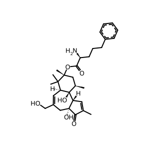 CC1=C[C@H]2[C@@]3(O)[C@H](C)C[C@@](C)(OC(=O)[C@@H](N)CCCc4ccccc4)C(C)(C)[C@@H]3C=C(CO)C[C@]2(O)C1=O